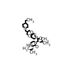 CCC1CCN(CC2COC3(CCN(C(=O)[C@H](CC(C)C)N4CCN[C@@H](CC(C)C)C4=O)CC3)OC2)CC1